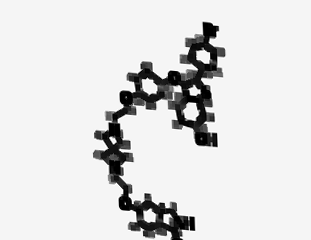 O=C1NCc2cc(OCCN3CC4(CN(CCOc5ccc(Oc6c(-c7ccc(Br)cc7)sc7cc(O)ccc67)cc5)C4)C3)ccc21